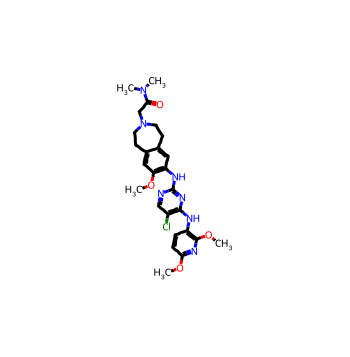 COc1ccc(Nc2nc(Nc3cc4c(cc3OC)CCN(CC(=O)N(C)C)CC4)ncc2Cl)c(OC)n1